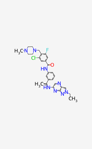 CCn1cc2ncc(N[C@@H](C)c3cccc(NC(=O)c4cc(F)c(CN5CCN(C)CC5)c(Cl)c4)c3)nc2n1